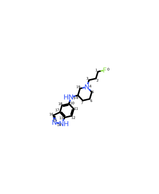 FCCCN1CCCC(Nc2ccc3[nH]ncc3c2)C1